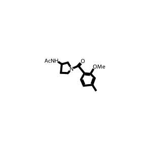 COc1cc(C)ccc1C(=O)N1CCC(NC(C)=O)C1